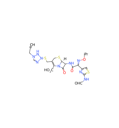 C#CCN1C=NN(SCC2=C(C(=O)O)N3C(=O)C(NC(=O)C(=NOC(C)C)c4csc(NC=O)n4)[C@@H]3SC2)N1